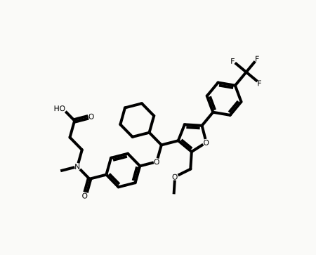 COCc1oc(-c2ccc(C(F)(F)F)cc2)cc1C(Oc1ccc(C(=O)N(C)CCC(=O)O)cc1)C1CCCCC1